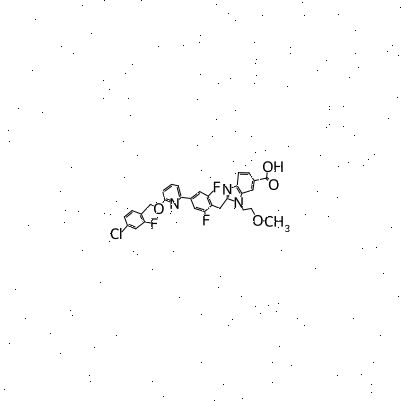 COCCn1c(Cc2c(F)cc(-c3cccc(OCc4ccc(Cl)cc4F)n3)cc2F)nc2ccc(C(=O)O)cc21